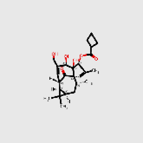 CC1=C[C@]23C(=O)[C@@H](C=C(CO)[C@@H](O)[C@]2(O)[C@H]1OC(=O)C1CCC1)[C@H]1[C@@H](C[C@H]3C)C1(C)C